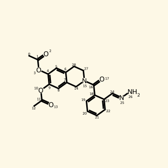 CC(=O)Oc1cc2c(cc1OC(C)=O)CN(C(=O)c1ccccc1C=NN)CC2